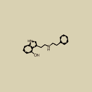 Oc1cccc2[nH]cc(CCNCCc3ccccc3)c12